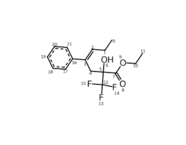 CCC=C(CC(O)(C(=O)OCC)C(F)(F)F)c1ccccc1